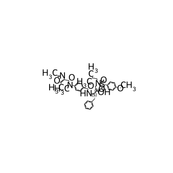 COc1ccc(S(=O)(=O)N(CC(C)C)C[C@@H](O)[C@H](Cc2ccccc2)NC(=O)c2ccc(N(C)C(=O)c3nc(C)oc3C)cc2)cc1